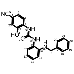 N#Cc1ccc(NC(=O)Nc2ccccc2NCc2ccccc2)c(O)c1